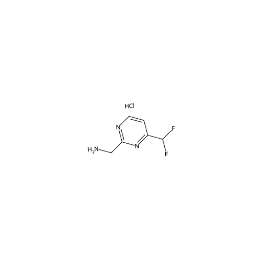 Cl.NCc1nccc(C(F)F)n1